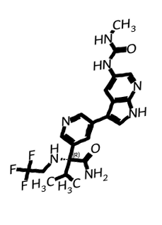 CNC(=O)Nc1cnc2[nH]cc(-c3cncc([C@@](NCC(F)(F)F)(C(N)=O)C(C)C)c3)c2c1